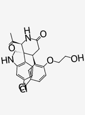 C=C(C)[C@H]1NC(=O)C[C@@H](c2cc(Cl)ccc2OCCO)[C@]12C(=O)Nc1cc(Cl)ccc12